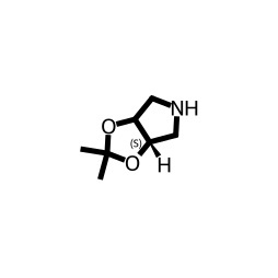 CC1(C)OC2CNC[C@@H]2O1